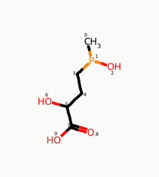 CP(O)CCC(O)C(=O)O